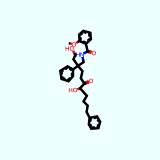 COc1ccccc1C(=O)NCC(CCO)(CCC(=O)C(O)CCCCc1ccccc1)c1ccccc1